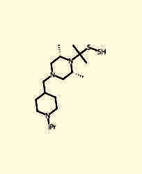 CC(C)N1CCC(CN2C[C@@H](C)N(C(C)(C)SS)[C@@H](C)C2)CC1